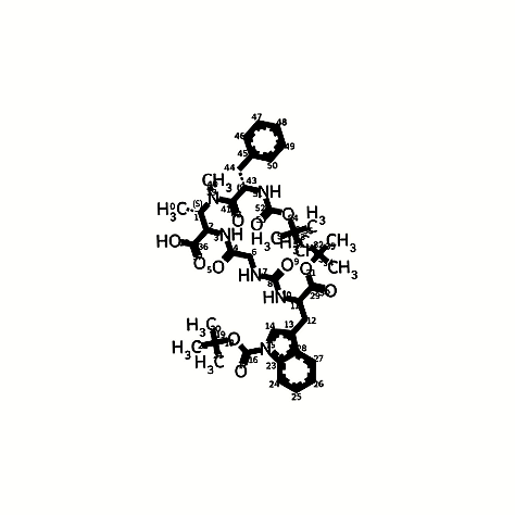 C[C@@H](C(NC(=O)CNC(=O)NC(Cc1cn(C(=O)OC(C)(C)C)c2ccccc12)C(=O)OC(C)(C)C)C(=O)O)N(C)C(=O)[C@H](Cc1ccccc1)NC(=O)OC(C)(C)C